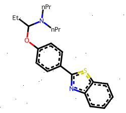 CCCN(CCC)C(CC)Oc1ccc(-c2nc3ccccc3s2)cc1